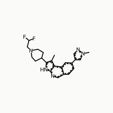 Cc1c(C2CCN(CC(F)F)CC2)[nH]c2ncc3ccc(-c4cnn(C)c4)cc3c12